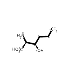 N[C@H](C(=O)O)[C@H](O)CCC(F)(F)F